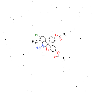 CC(=O)Oc1ccc(C2(c3ccc(OC(C)=O)cc3)C(=O)N(N)c3c2ccc(Cl)c3C)cc1